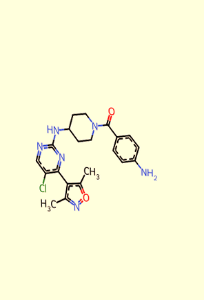 Cc1noc(C)c1-c1nc(NC2CCN(C(=O)c3ccc(N)cc3)CC2)ncc1Cl